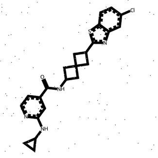 O=C(NC1CC2(C1)CC(c1nc3cc(Cl)ccc3s1)C2)c1ccnc(NC2CC2)c1